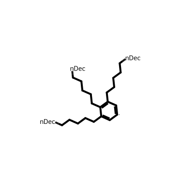 CCCCCCCCCCCCCCCc1c[c]cc(CCCCCCCCCCCCCCC)c1CCCCCCCCCCCCCCC